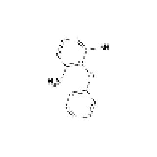 [SiH3]c1cccc(S)c1Oc1ccccc1